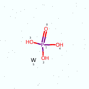 O=P(O)(O)O.[W]